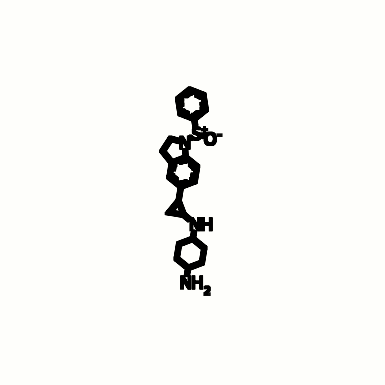 NC1CCC(NC2CC2c2ccc3c(c2)CCN3[S+]([O-])c2ccccc2)CC1